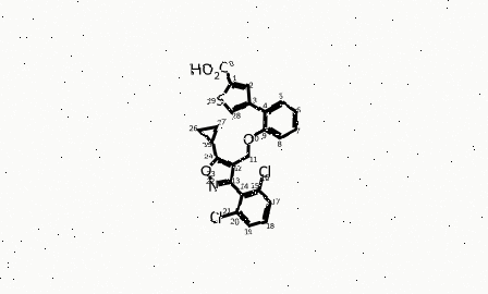 O=C(O)c1cc(-c2ccccc2OCc2c(-c3c(Cl)cccc3Cl)noc2C2CC2)cs1